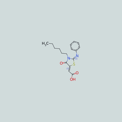 CCCCCCN1C(=O)/C(=C/C(=O)O)S/C1=N/c1ccccc1